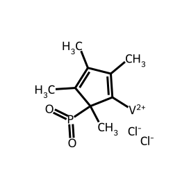 CC1=C(C)C(C)(P(=O)=O)[C]([V+2])=C1C.[Cl-].[Cl-]